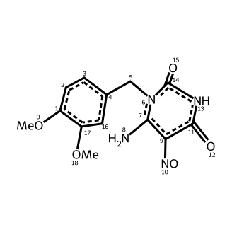 COc1ccc(Cn2c(N)c(N=O)c(=O)[nH]c2=O)cc1OC